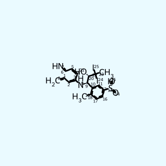 C=C/C=C(\C=C/C=N)N[C@H](c1cc([SH](=O)=O)ccc1C)[C@H](O)C(C)(I)I